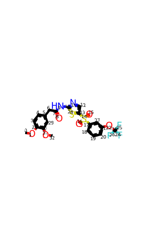 COc1ccc(CC(=O)Nc2ncc(S(=O)(=O)c3cccc(OC(F)(F)F)c3)s2)cc1OC